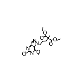 CCOC(=O)C(C)(CCCn1ncc2nc(Cl)nc(OC)c21)C(=O)OCC